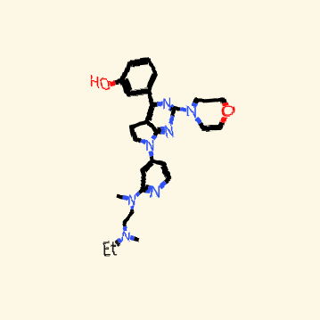 CCN(C)CCN(C)c1cc(N2CCc3c(-c4cccc(O)c4)nc(N4CCOCC4)nc32)ccn1